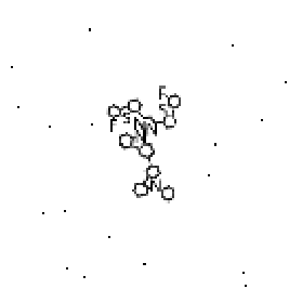 Fc1cccc2c1sc1c(-c3cc(-c4cccc5c4sc4c(F)cccc45)nc(-n4c5ccccc5c5cc(-c6ccc7c(c6)c6ccccc6n7-c6ccccc6)ccc54)n3)cccc12